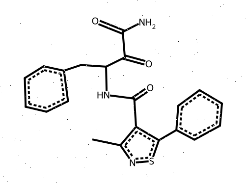 Cc1nsc(-c2ccccc2)c1C(=O)NC(Cc1ccccc1)C(=O)C(N)=O